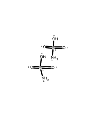 NS(=O)(=O)O.NS(=O)(=O)O